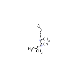 CC(C)=C/C=C(C#N)\C=C(/C)CCCCC1CCC1